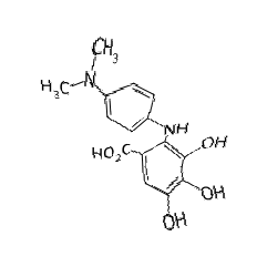 CN(C)c1ccc(Nc2c(C(=O)O)cc(O)c(O)c2O)cc1